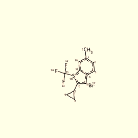 Cc1ccc2cc(C3CC3)[s+](C(F)(F)F)c2c1.[Br-]